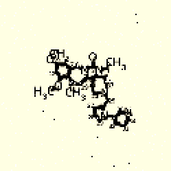 CCN1C(=O)N2Cc3cc(OC)cc(OC)c3[C@@H](C)C=C2C12CCN(Cc1cccn1-c1cccnc1)CC2